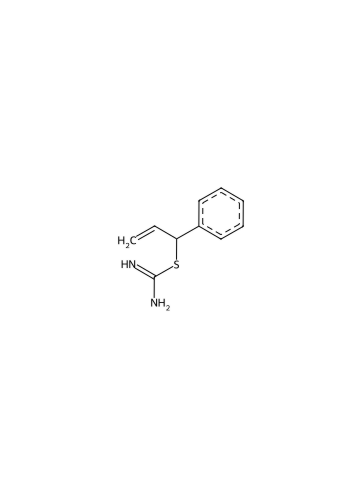 C=CC(SC(=N)N)c1ccccc1